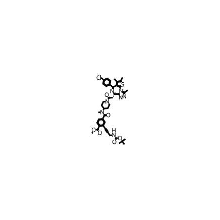 COC(=O)c1ccc(C(=O)N(C)C2CCN(C(=O)C[C@@H]3N=C(c4ccc(Cl)cc4)c4c(sc(C)c4C)-n4c(C)nnc43)CC2)cc1C#CCNC(=O)OC(C)(C)C